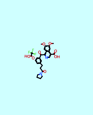 COc1cc2c(C(=O)O)cnc(C(=O)c3cccc(CCC(=O)N4CCCC4)c3)c2cc1OC.O=C(O)C(F)(F)F